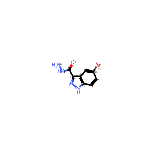 NNC(=O)c1n[nH]c2ccc(Br)cc12